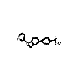 COC(=O)c1ccc(-c2ccc3c(ccn3-c3cccnc3)c2)cc1